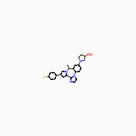 CC1c2cc(N3CCC(O)C3)ccc2-n2ccnc2-c2cc(-c3ccc(F)cc3)cn21